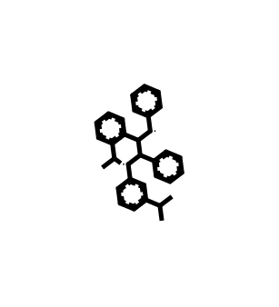 CC(C)c1cccc([CH]C(c2ccccc2)C([CH]c2ccccc2)c2ccccc2C(C)C)c1